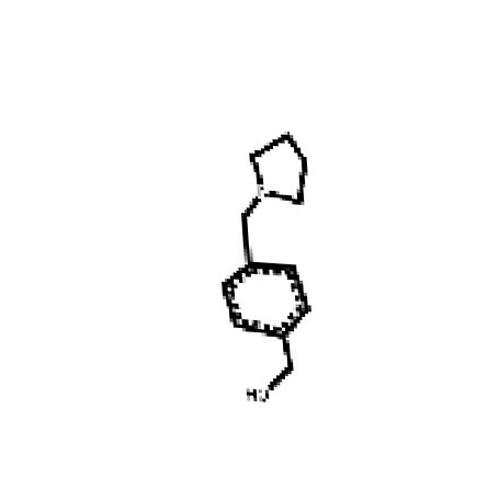 OCc1ccc(CN2CCCC2)cc1